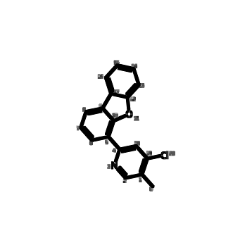 Cc1cnc(-c2cccc3c2oc2ccccc23)cc1Cl